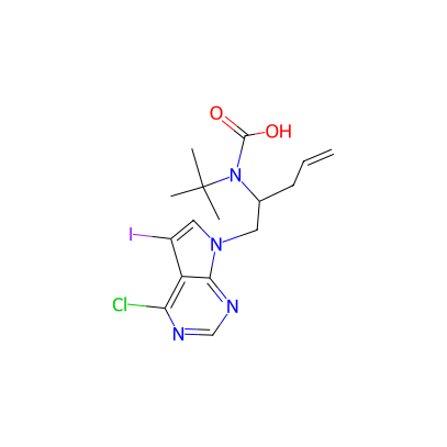 C=CCC(Cn1cc(I)c2c(Cl)ncnc21)N(C(=O)O)C(C)(C)C